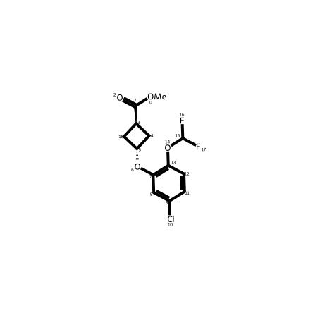 COC(=O)[C@H]1C[C@H](Oc2cc(Cl)ccc2OC(F)F)C1